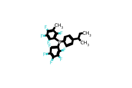 CCC(C)c1ccc(B(c2c(F)c(C)c(F)c(F)c2F)c2c(F)c(F)c(F)c(F)c2F)cc1